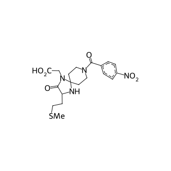 CSCCC1NC2(CCN(C(=O)c3ccc([N+](=O)[O-])cc3)CC2)N(CC(=O)O)C1=O